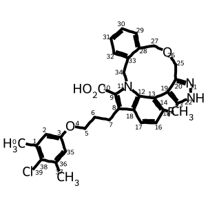 Cc1cc(OCCCc2c(C(=O)O)n3c4c(c(F)ccc24)-c2c(n[nH]c2C)COCc2ccccc2C3)cc(C)c1Cl